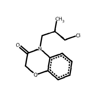 CC(CCl)CN1C(=O)COc2ccccc21